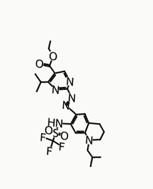 CCOC(=O)c1cnc(N=Nc2cc3c(cc2NS(=O)(=O)C(F)(F)F)N(CC(C)C)CCC3)nc1C(C)C